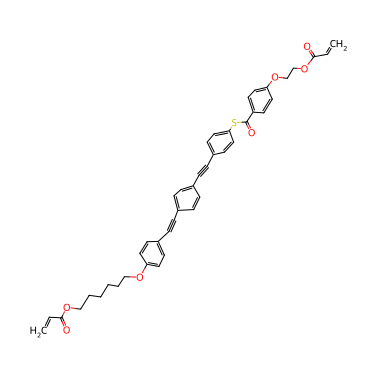 C=CC(=O)OCCCCCCOc1ccc(C#Cc2ccc(C#Cc3ccc(SC(=O)c4ccc(OCCOC(=O)C=C)cc4)cc3)cc2)cc1